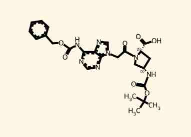 CC(C)(C)OC(=O)N[C@H]1C[C@@H](C(=O)O)N(C(=O)Cn2cnc3c(NC(=O)OCc4ccccc4)ncnc32)C1